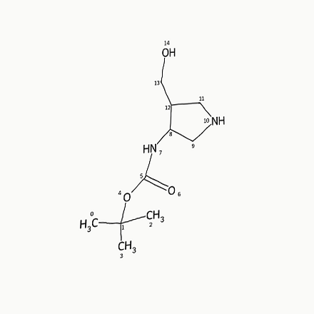 CC(C)(C)OC(=O)NC1CNCC1CO